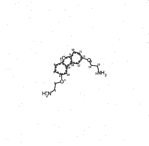 NCCOc1ccc2oc3ccc(OCCN)cc3c2c1